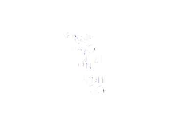 CCC[n+]1cc(Br)cc(C(=O)N(CCC(=O)NCCC(=O)Nc2cccc3ccccc23)c2ccccc2)c1.[Cl-]